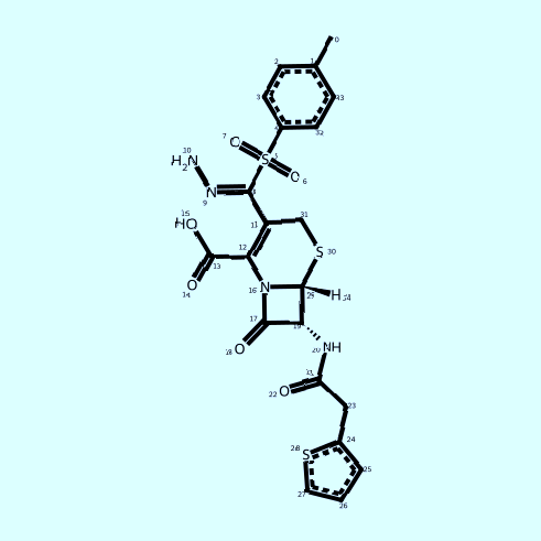 Cc1ccc(S(=O)(=O)/C(=N\N)C2=C(C(=O)O)N3C(=O)[C@@H](NC(=O)Cc4cccs4)[C@H]3SC2)cc1